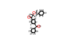 CC(C)(O[Si](C)(C)c1ccccc1)C(=O)c1ccc(C(=O)c2ccccc2)cc1